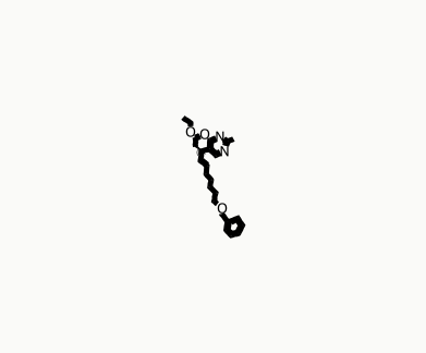 CCOC(=O)C[C@H](C=CCCCCCOCc1ccccc1)c1cnc(C)nc1